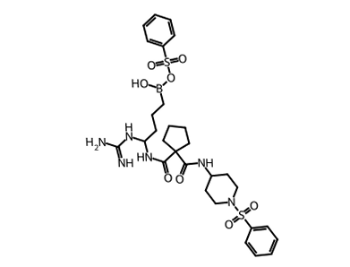 N=C(N)NC(CCCB(O)OS(=O)(=O)c1ccccc1)NC(=O)C1(C(=O)NC2CCN(S(=O)(=O)c3ccccc3)CC2)CCCC1